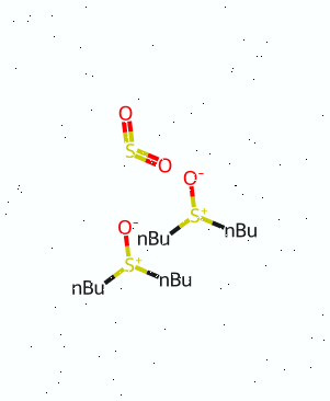 CCCC[S+]([O-])CCCC.CCCC[S+]([O-])CCCC.O=S=O